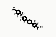 CC(O)c1ccc(C2CCC(c3ccc(OC(=O)c4ccc(C5CO5)c(F)c4F)c(F)c3F)CC2)c(F)c1F